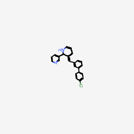 Clc1ccc(-c2cccc(C=C3CC=CNC3c3cccnc3)c2)cc1